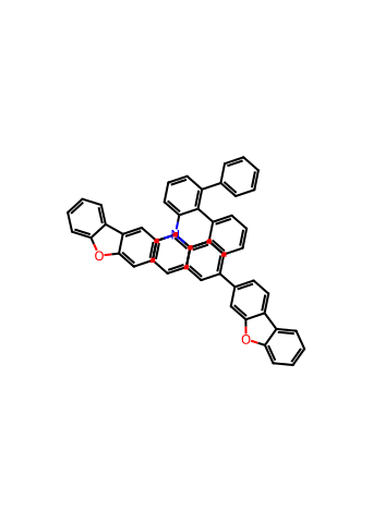 c1ccc(-c2ccccc2-c2c(-c3ccccc3)cccc2N(c2ccc(-c3ccc4c(c3)oc3ccccc34)cc2)c2ccc3oc4ccccc4c3c2)cc1